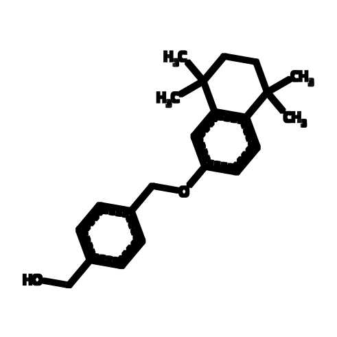 CC1(C)CCC(C)(C)c2cc(OCc3ccc(CO)cc3)ccc21